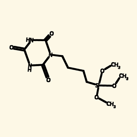 CO[Si](CCCCn1c(=O)[nH]c(=O)[nH]c1=O)(OC)OC